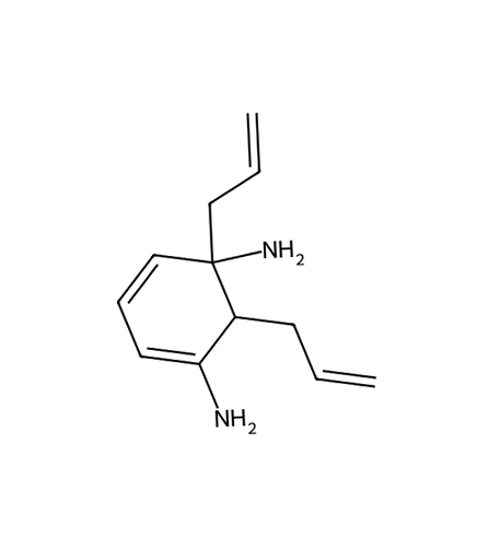 C=CCC1C(N)=CC=CC1(N)CC=C